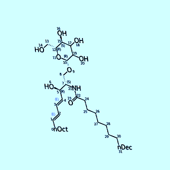 CCCCCCCC/C=C/C=C/[C@@H](O)[C@H](CO[C@@H]1O[C@H](CO)[C@@H](O)C(O)C1O)NC(=O)CCCCCCCCCCCCCCCCC